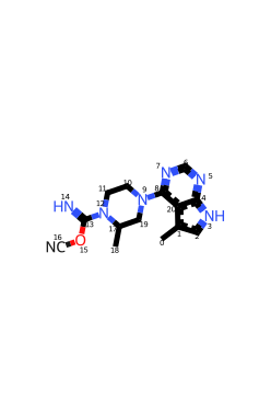 Cc1c[nH]c2ncnc(N3CCN(C(=N)OC#N)C(C)C3)c12